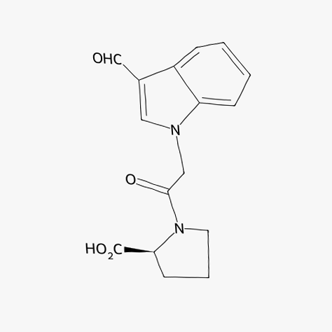 O=Cc1cn(CC(=O)N2CCC[C@H]2C(=O)O)c2ccccc12